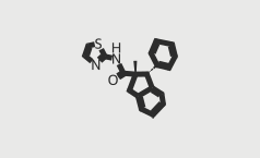 C[C@]1(C(=O)Nc2nccs2)Cc2c[c]ccc2[C@H]1c1ccccc1